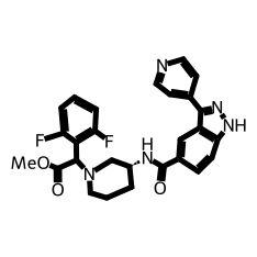 COC(=O)C(c1c(F)cccc1F)N1CCC[C@@H](NC(=O)c2ccc3[nH]nc(-c4ccncc4)c3c2)C1